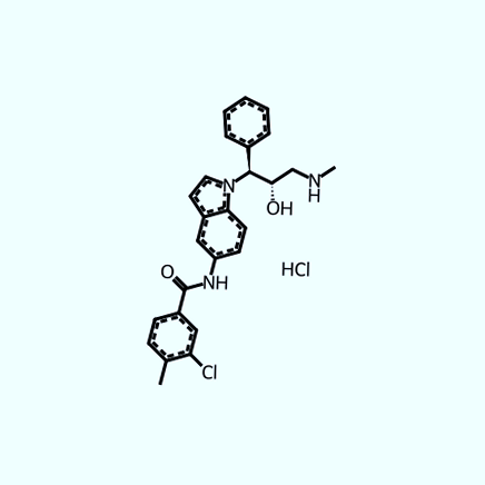 CNC[C@H](O)[C@H](c1ccccc1)n1ccc2cc(NC(=O)c3ccc(C)c(Cl)c3)ccc21.Cl